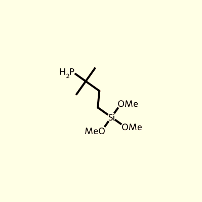 CO[Si](CCC(C)(C)P)(OC)OC